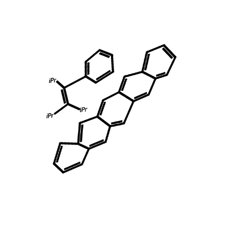 CC(C)C(=C(C(C)C)C(C)C)c1ccccc1.c1ccc2cc3cc4cc5ccccc5cc4cc3cc2c1